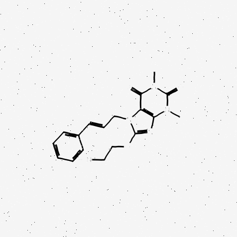 Cn1c(=O)c2c(nc(OCCN)n2CC=Cc2ccccc2)n(C)c1=O